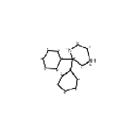 C1CCC(C2(C3CCCCC3)CNCC[N]2)CC1